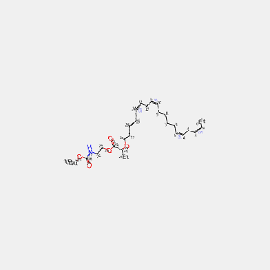 CC/C=C\C/C=C\CCCC/C=C\C/C=C\CCCCOC(CC)C(=O)OCCNC(=O)OC(C)(C)C